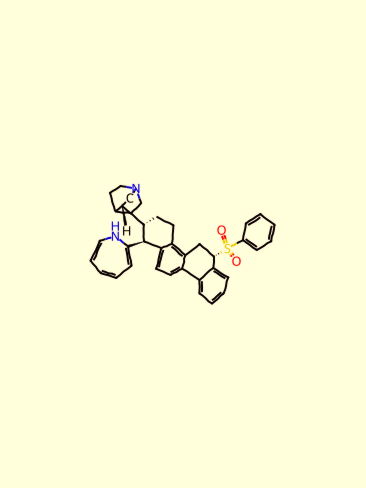 O=S(=O)(c1ccccc1)[C@H]1Cc2c(ccc3c2CC[C@@H]([C@H]2CN4CCC2CC4)[C@@H]3C2=CC=CC=CN2)-c2ccccc21